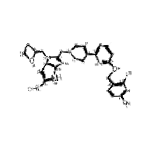 N#Cc1ccc(COc2cccc(C3=CCN(Cc4nc5[nH]c(C=O)cc5n4CC4CCO4)CC3)n2)c(F)c1